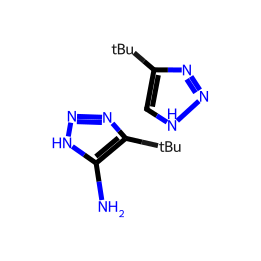 CC(C)(C)c1c[nH]nn1.CC(C)(C)c1nn[nH]c1N